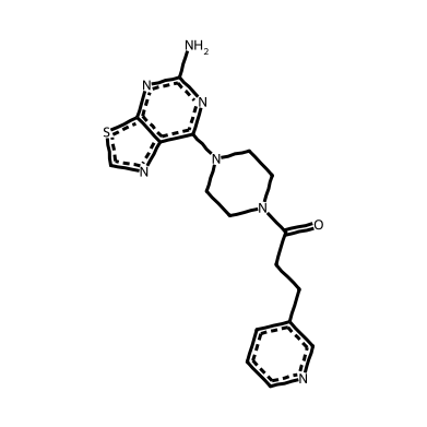 Nc1nc(N2CCN(C(=O)CCc3cccnc3)CC2)c2ncsc2n1